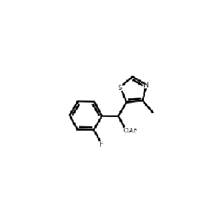 CC(=O)OC(c1ccccc1F)c1scnc1C